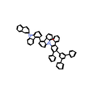 c1ccc(-c2cc(-c3ccccc3)cc(-c3cc(-c4ccccc4)c(-n4c5ccccc5c5c(-c6cccc7c6c6ccccc6n7-c6ccc7ccccc7c6)cccc54)cc3-c3ccccc3)c2)cc1